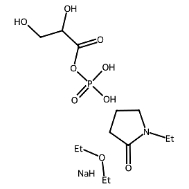 CCN1CCCC1=O.CCOCC.O=C(OP(=O)(O)O)C(O)CO.[NaH]